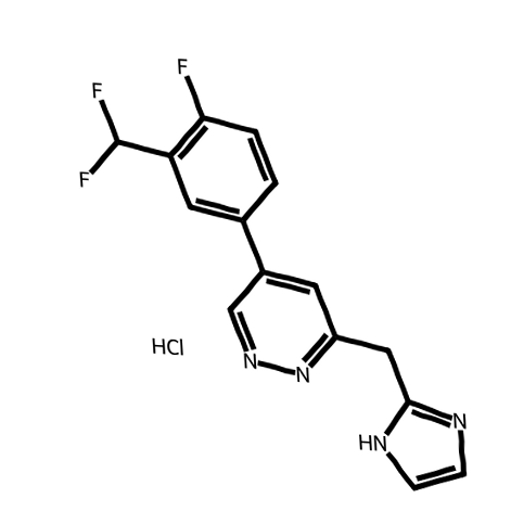 Cl.Fc1ccc(-c2cnnc(Cc3ncc[nH]3)c2)cc1C(F)F